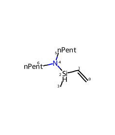 C=C[SiH](C)N(CCCCC)CCCCC